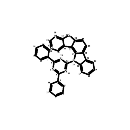 c1ccc(-c2nc(-c3ccccc3)nc(-n3c4ccccc4c4ccc5sc6ncncc6c5c43)n2)cc1